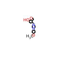 COc1ccc(N2CCN(Cc3ccc(O)c4occc34)CC2)cc1